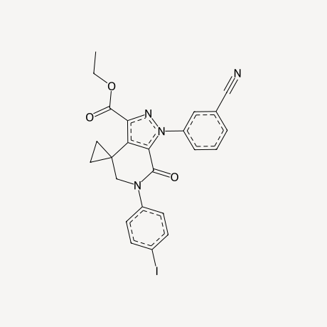 CCOC(=O)c1nn(-c2cccc(C#N)c2)c2c1C1(CC1)CN(c1ccc(I)cc1)C2=O